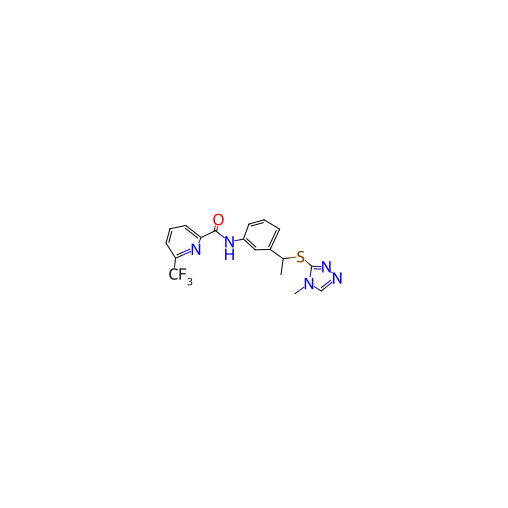 CC(Sc1nncn1C)c1cccc(NC(=O)c2cccc(C(F)(F)F)n2)c1